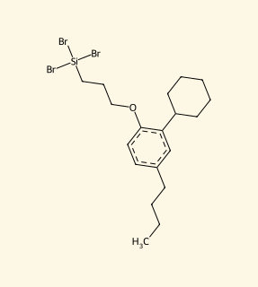 CCCCc1ccc(OCCC[Si](Br)(Br)Br)c(C2CCCCC2)c1